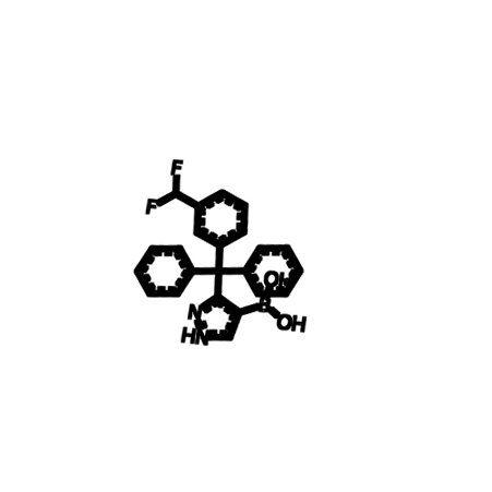 OB(O)c1c[nH]nc1C(c1ccccc1)(c1ccccc1)c1cccc(C(F)F)c1